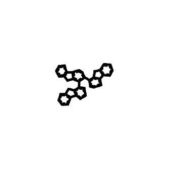 c1ccc2c(c1)Cc1c-2cccc1-c1ccc2c(c1-c1cccc3c1Cc1ccccc1-3)Cc1ccccc1-2